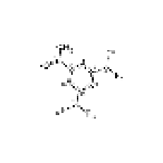 CC(=O)c1cc(C(F)F)nc(C(F)F)c1